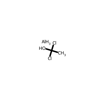 CC(O)(Cl)Cl.[AlH3]